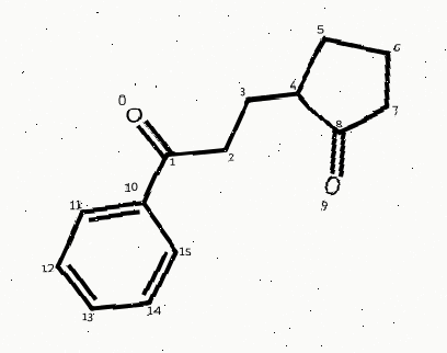 O=C(CCC1CCCC1=O)c1ccccc1